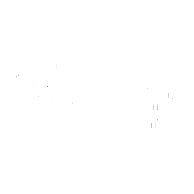 CCCCCCCCON1C(C)(C)CC(OC(=O)CCCCC(=O)OC2CC(C)(C)N(OCCCCCCCC)C(C)(C)C2)CC1(C)C